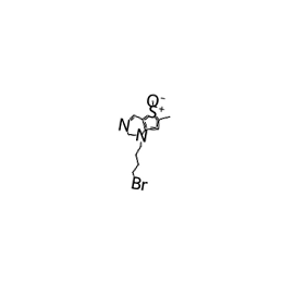 Cc1cc2c([s+]1[O-])C=NCN2CCCCBr